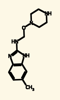 Cc1ccc2nc(NCON3CCNCC3)[nH]c2c1